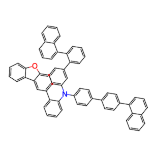 c1cc(-c2ccccc2-c2cccc3ccccc23)cc(N(c2ccc(-c3ccc(-c4cccc5ccccc45)cc3)cc2)c2ccccc2-c2ccc3oc4ccccc4c3c2)c1